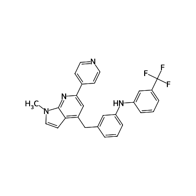 Cn1ccc2c(Cc3cccc(Nc4cccc(C(F)(F)F)c4)c3)cc(-c3ccncc3)nc21